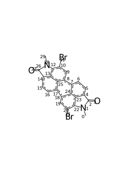 CN1C(=O)c2ccc3c4cc(Br)c5c6c(ccc(c7cc(Br)c1c2c37)c64)C(=O)N5C